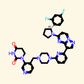 O=C1CCN(c2cnccc2CN2CCN(c3cccc(-c4cnn5ccc(N6CCC[C@@H]6c6ccc(F)cc6F)nc45)n3)CC2)C(=O)N1